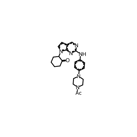 CC(=O)N1CCN(c2ccc(Nc3ncc4ccn(C5CCCCC5=O)c4n3)cc2)CC1